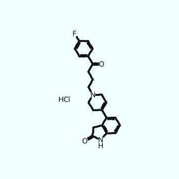 Cl.O=C1Cc2c(cccc2C2=CCN(CCCC(=O)c3ccc(F)cc3)CC2)N1